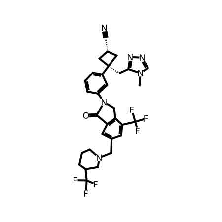 Cn1cnnc1C[C@]1(c2cccc(N3Cc4c(cc(CN5CCCC(C(F)(F)F)C5)cc4C(F)(F)F)C3=O)c2)C[C@H](C#N)C1